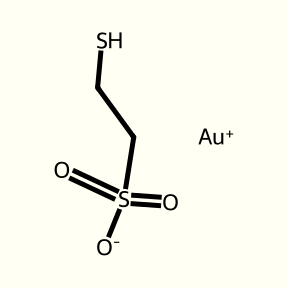 O=S(=O)([O-])CCS.[Au+]